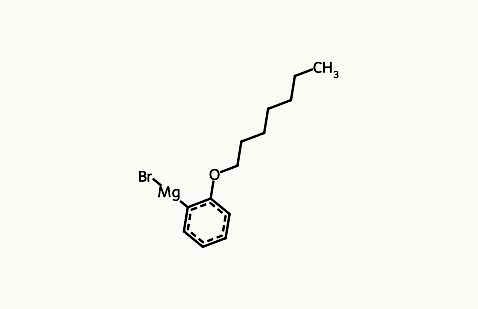 CCCCCCCOc1cccc[c]1[Mg][Br]